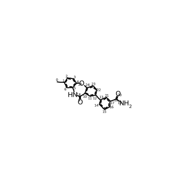 Cc1ccc2c(c1)NC(=O)c1cc(-c3cccc(C(N)=O)c3)ccc1O2